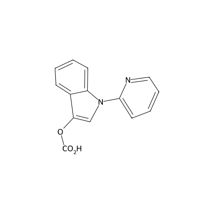 O=C(O)Oc1cn(-c2ccccn2)c2ccccc12